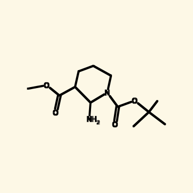 COC(=O)C1CCCN(C(=O)OC(C)(C)C)C1N